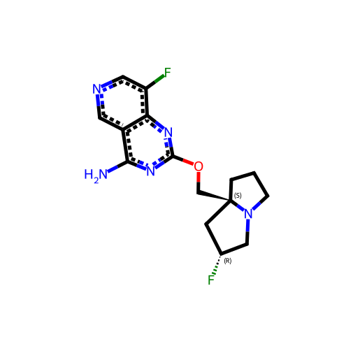 Nc1nc(OC[C@@]23CCCN2C[C@H](F)C3)nc2c(F)cncc12